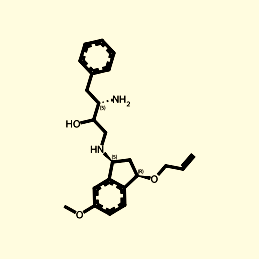 C=CCO[C@@H]1C[C@H](NCC(O)[C@@H](N)Cc2ccccc2)c2cc(OC)ccc21